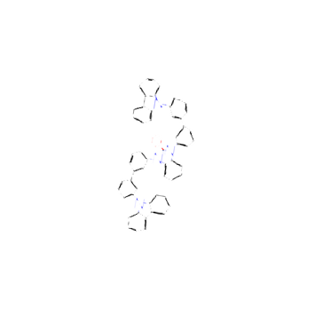 O=c1n(-c2cccc(-c3cccc(-n4c5ccccc5c5ccccc54)c3)c2)c2ccccc2n1-c1cccc(-c2cccc(-n3c4ccccc4c4ccccc43)c2)c1